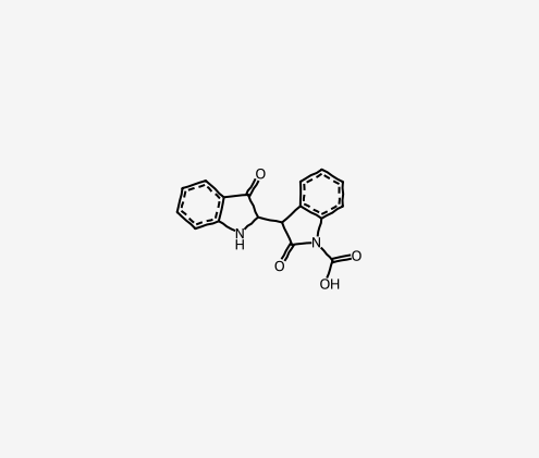 O=C1c2ccccc2NC1C1C(=O)N(C(=O)O)c2ccccc21